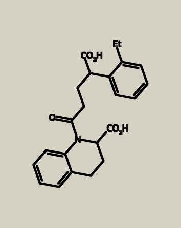 CCc1ccccc1C(CCC(=O)N1c2ccccc2CCC1C(=O)O)C(=O)O